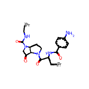 CC(C)CNC(=O)N1CC(=O)C2C1CCN2C(=O)C(CC(C)C)NC(=O)c1ccc(N)cc1